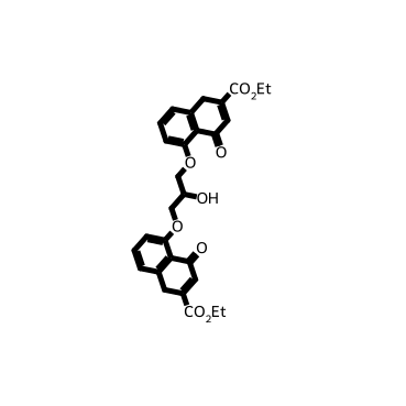 CCOC(=O)C1=CC(=O)c2c(cccc2OCC(O)COc2cccc3c2C(=O)C=C(C(=O)OCC)C3)C1